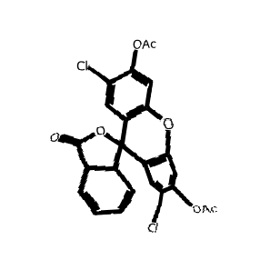 CC(=O)Oc1cc2c(cc1Cl)C1(OC(=O)C3C=CC=CC31)c1cc(Cl)c(OC(C)=O)cc1O2